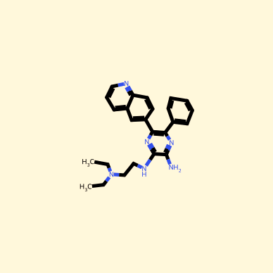 CCN(CC)CCNc1nc(-c2ccc3ncccc3c2)c(-c2ccccc2)nc1N